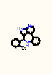 CCc1ccccc1C1Nc2ccccc2-c2ccnc3[nH]cc1c23